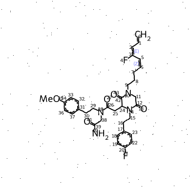 C=C/C=C(F)\C=C/CCCN1CC(=O)N(CCc2ccc(F)cc2)C(CC(=O)N(CCc2ccc(OC)cc2)CC(N)=O)C1=O